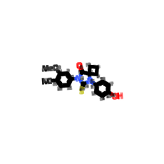 COc1cc(N2C(=O)C3(CCC3)N(c3ccc(O)cc3)C2=S)ccc1C#N